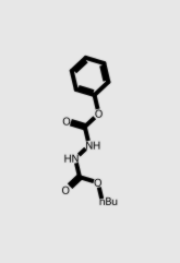 CCCCOC(=O)NNC(=O)Oc1ccccc1